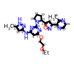 CCOCCOc1cc(Nc2cc(C)[nH]n2)nc(N2CCCC2c2cc(-c3nccnc3C)no2)n1